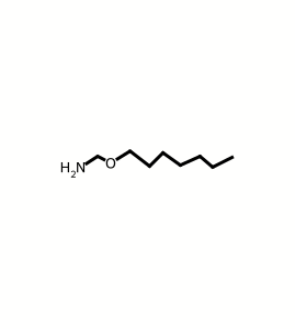 CCCCCCCOCN